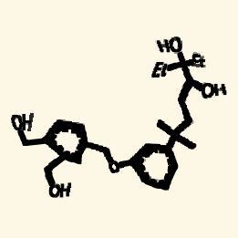 CCC(O)(CC)C(O)CCC(C)(C)c1cccc(OCc2ccc(CO)c(CO)c2)c1